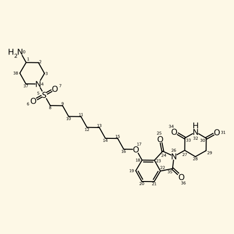 NC1CCN(S(=O)(=O)CCCCCCCCCOc2cccc3c2C(=O)N(C2CCC(=O)NC2=O)C3=O)CC1